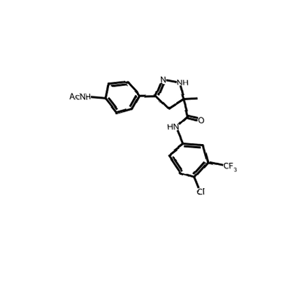 CC(=O)Nc1ccc(C2=NNC(C)(C(=O)Nc3ccc(Cl)c(C(F)(F)F)c3)C2)cc1